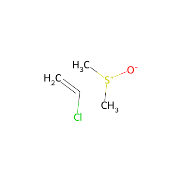 C=CCl.C[S+](C)[O-]